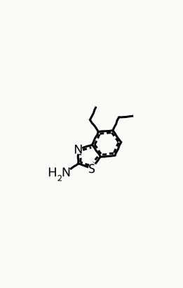 CCc1ccc2sc(N)nc2c1CC